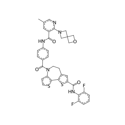 Cc1cnc(N2CC3(COC3)C2)c(C(=O)Nc2ccc(C(=O)N3CCc4cc(C(=O)Nc5c(F)cccc5F)sc4-c4sccc43)cc2)c1